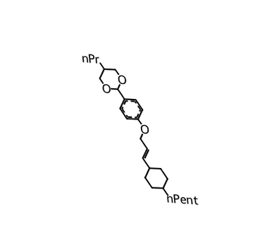 CCCCCC1CCC(C=CCOc2ccc(C3OCC(CCC)CO3)cc2)CC1